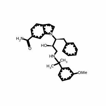 COc1cccc(C(C)(C)NC[C@@H](O)[C@H](Cc2ccccc2)n2ccc3ccc(C(N)=O)cc32)c1